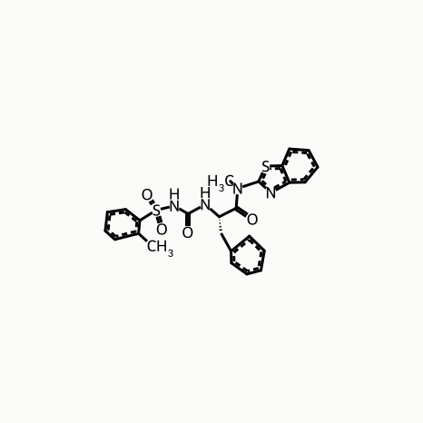 Cc1ccccc1S(=O)(=O)NC(=O)N[C@@H](Cc1ccccc1)C(=O)N(C)c1nc2ccccc2s1